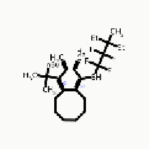 C=C/C(BC(F)(F)C(F)(F)C(C)(CC)CC)=C1/CCCCCC/C1=C(/C=C)C(C)(C)CCCC